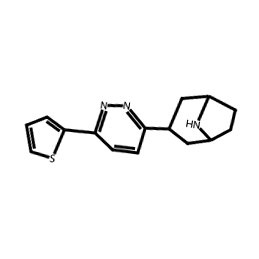 c1csc(-c2ccc(C3CC4CCC(C3)N4)nn2)c1